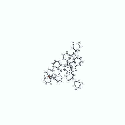 c1ccc(-c2ccc(-c3nc(-c4ccccc4)nc(-c4ccccc4)n3)c(-n3c4cccc(-c5cccc6c5c5ccccc5n6-c5ccccc5)c4c4cccc(-c5ccccc5)c43)c2)cc1